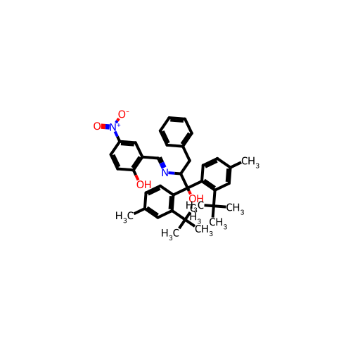 Cc1ccc(C(O)(c2ccc(C)cc2C(C)(C)C)C(Cc2ccccc2)N=Cc2cc([N+](=O)[O-])ccc2O)c(C(C)(C)C)c1